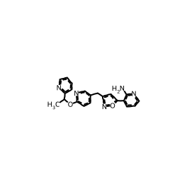 CC(Oc1ccc(Cc2cc(-c3cccnc3N)on2)cn1)c1ccccn1